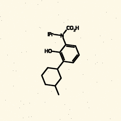 CC1CCCC(c2cccc(N(C(=O)O)C(C)C)c2O)C1